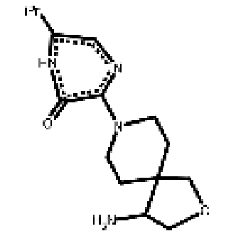 CC(C)c1cnc(N2CCC3(CC2)COCC3N)c(=O)[nH]1